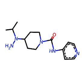 CC(C)N(N)C1CCN(C(=O)Nc2ccncc2)CC1